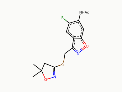 CC(=O)Nc1cc2onc(CSC3=NOC(C)(C)C3)c2cc1F